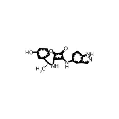 C[C@@H](Nc1c(Nc2ccc3[nH]ncc3c2)c(=O)c1=O)c1cccc(O)c1